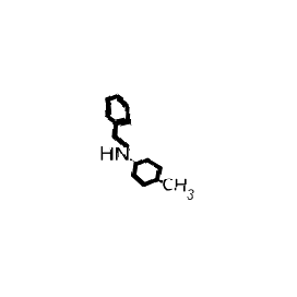 C[C@H]1CC[C@H](NCCc2ccccc2)CC1